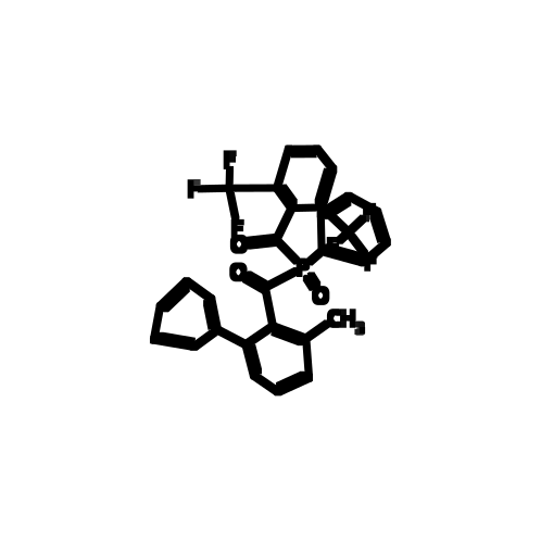 Cc1cccc(-c2ccccc2)c1C(=O)P(=O)(C(=O)c1c(C(F)(F)F)cccc1C(F)(F)F)c1ccccc1